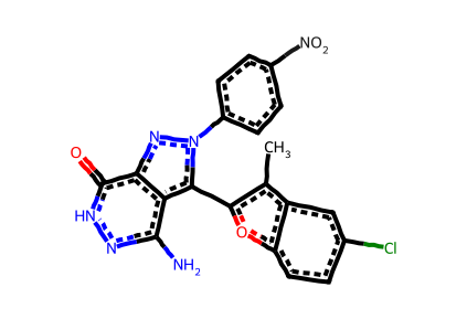 Cc1c(-c2c3c(N)n[nH]c(=O)c3nn2-c2ccc([N+](=O)[O-])cc2)oc2ccc(Cl)cc12